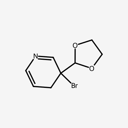 BrC1(C2OCCO2)C=NC=CC1